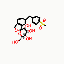 CS(=O)(=O)c1ccc(Cc2ccc3c(c2)[C@]2(OC3)O[C@H](CO)[C@@H](O)[C@H](O)[C@H]2O)cc1